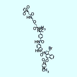 C/C(=N\NC(=O)CCOCCNC(=O)CCN1C(=O)C=CC1=O)c1ccc(C(=O)Nc2ccc3[nH]c(C(=O)N4C[C@@H](CBr)c5c4cc(OC(=O)N4CCN(C)CC4)c4ccccc54)cc3c2)cc1